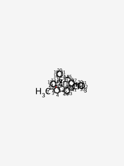 CCc1ccc2c(c1)[CH]([Zr](=[C](c1ccccc1)c1ccccc1)[CH]1C=Cc3cc(-c4ccccc4)ccc31)c1cc(CC)ccc1-2